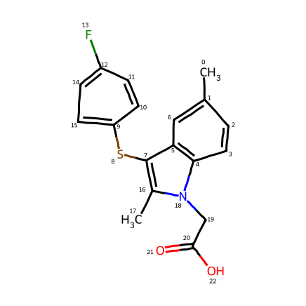 Cc1ccc2c(c1)c(Sc1ccc(F)cc1)c(C)n2CC(=O)O